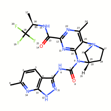 Cc1ccc2c(NC(=O)N3c4nc(C(=O)N[C@H](C)C(F)(F)F)nc(C)c4N4CC[C@H]3C4)n[nH]c2n1